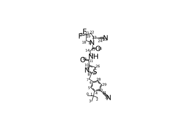 CC(C)(C)c1cc(Cc2nc(C(=O)NCC(=O)N3CC(F)(F)C[C@H]3C#N)cs2)ccc1C#N